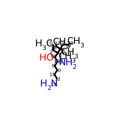 CC=CC(C)(C(O)[C@H](N)CCCCN)C(C)(CC)CCC